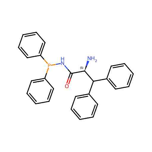 N[C@H](C(=O)NP(c1ccccc1)c1ccccc1)C(c1ccccc1)c1ccccc1